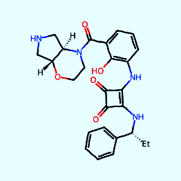 CC[C@@H](Nc1c(Nc2cccc(C(=O)N3CCO[C@@H]4CNC[C@H]43)c2O)c(=O)c1=O)c1ccccc1